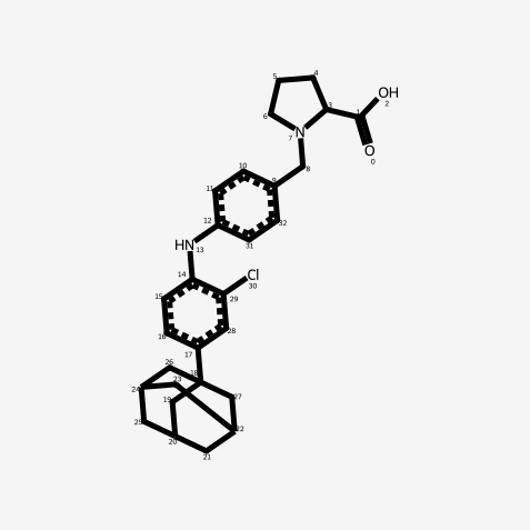 O=C(O)C1CCCN1Cc1ccc(Nc2ccc(C34CC5CC(CC(C5)C3)C4)cc2Cl)cc1